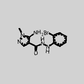 Cn1ncc(C(=O)NNc2ccccc2Br)c1N